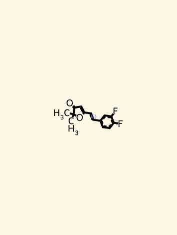 CC1(C)OC(/C=C/c2ccc(F)c(F)c2)=CC1=O